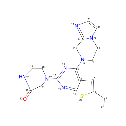 CCc1cc2c(N3CCn4ccnc4C3)nc(N3CCNC(=O)C3)nc2s1